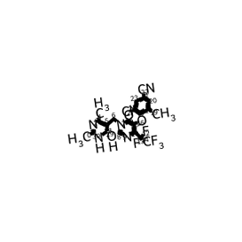 CC1=NC(C)=C(Cn2cnc(C(F)(F)C(F)(F)F)c(Oc3c(C)cc(C#N)cc3Cl)c2=O)C(O)N1